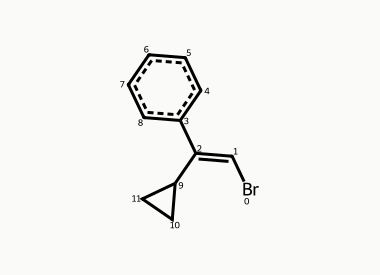 BrC=C(c1ccccc1)C1CC1